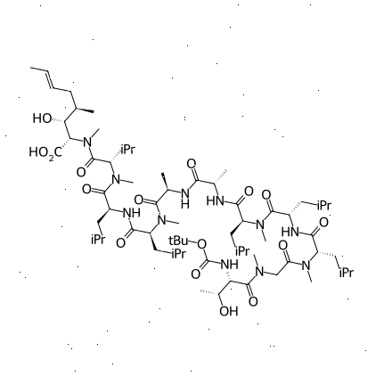 C/C=C/C[C@@H](C)[C@@H](O)[C@@H](C(=O)O)N(C)C(=O)[C@H](C(C)C)N(C)C(=O)[C@H](CC(C)C)NC(=O)[C@H](CC(C)C)N(C)C(=O)[C@@H](C)NC(=O)[C@H](C)NC(=O)[C@H](CC(C)C)N(C)C(=O)[C@H](CC(C)C)NC(=O)[C@H](CC(C)C)N(C)C(=O)CN(C)C(=O)[C@@H](NC(=O)OC(C)(C)C)[C@@H](C)O